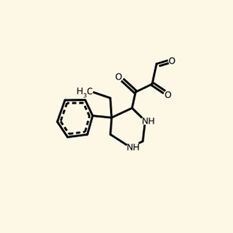 CCC1(c2ccccc2)CNCNC1C(=O)C(=O)C=O